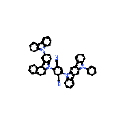 N#Cc1cc(-n2c3ccc(-n4c5ccccc5c5ccccc54)cc3c3c4ccccc4ccc32)c(C#N)cc1-n1c2ccccc2c2cc3c(cc21)c1ccccc1n3-c1ccccc1